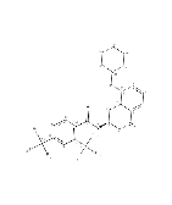 O=C(N[C@@H]1COc2cccc(CN3CCCCC3)c2C1)c1ccc(C(F)(F)F)cc1C(F)(F)F